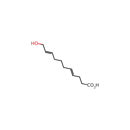 O=C(O)CC/C=C/CCC/C=C/CO